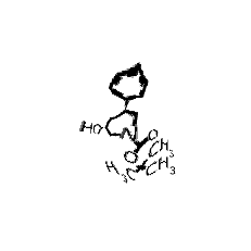 CC(C)(C)OC(=O)N1C[C@H](O)C[C@@H](c2ccccc2)C1